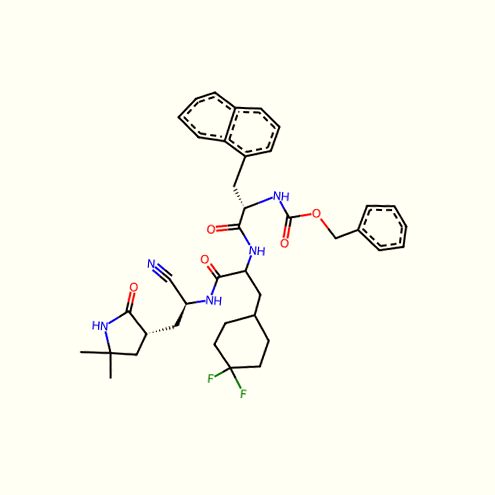 CC1(C)C[C@@H](C[C@@H](C#N)NC(=O)C(CC2CCC(F)(F)CC2)NC(=O)[C@H](Cc2cccc3ccccc23)NC(=O)OCc2ccccc2)C(=O)N1